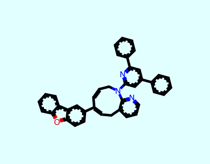 C1=C\C(c2ccc3oc4ccccc4c3c2)=C/Cc2cccnc2N(c2cc(-c3ccccc3)cc(-c3ccccc3)n2)C/1